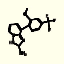 COc1cc(C(F)(F)F)ccc1C1=CC=CN2NC(N)N=C12